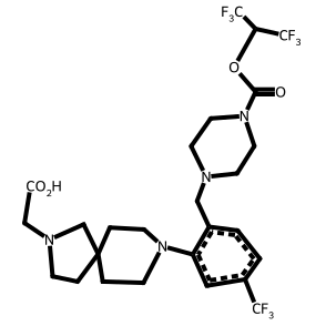 O=C(O)CN1CCC2(CCN(c3cc(C(F)(F)F)ccc3CN3CCN(C(=O)OC(C(F)(F)F)C(F)(F)F)CC3)CC2)C1